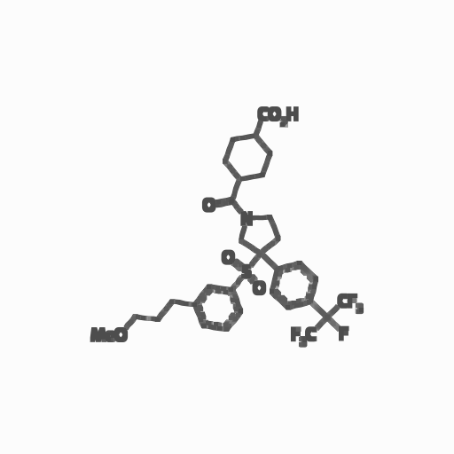 COCCCc1cccc(S(=O)(=O)C2(c3ccc(C(F)(C(F)(F)F)C(F)(F)F)cc3)CCN(C(=O)C3CCC(C(=O)O)CC3)C2)c1